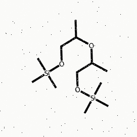 CC(CO[Si](C)(C)C)OC(C)CO[Si](C)(C)C